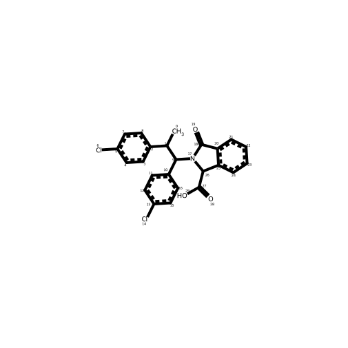 CC(c1ccc(Cl)cc1)C(c1ccc(Cl)cc1)N1C(=O)c2ccccc2C1C(=O)O